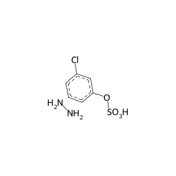 NN.O=S(=O)(O)Oc1cccc(Cl)c1